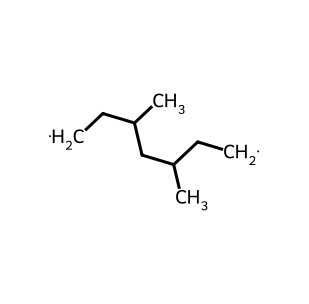 [CH2]CC(C)CC(C)C[CH2]